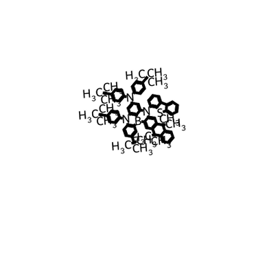 CC(C)(C)c1ccc(N(c2ccc(C(C)(C)C)cc2)c2cc3c4c(c2)N(c2cccc5c2sc2ccccc25)c2cc5c(cc2B4c2cc(C(C)(C)C)ccc2N3c2ccc(C(C)(C)C)cc2)C(C)(C)c2ccccc2C5(C)C)cc1